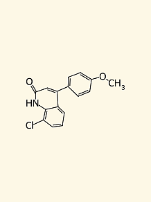 COc1ccc(-c2cc(=O)[nH]c3c(Cl)cccc23)cc1